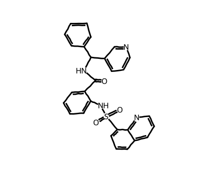 O=C(NC(c1ccccc1)c1cccnc1)c1ccccc1NS(=O)(=O)c1cccc2cccnc12